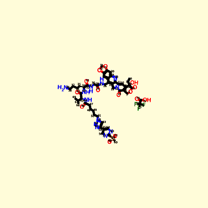 CC[C@@]1(O)C(=O)OCc2c1cc1n(c2=O)Cc2c-1nc1cc3c(cc1c2CNC(=O)CNC(=O)[C@H](CCCCN)NC(=O)[C@@H](NC(=O)CCCCCn1cc(-c2cnc(S(C)(=O)=O)nc2)nn1)C(C)C)OCO3.O=C(O)C(F)(F)F